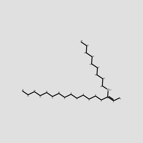 CC=C(CCCCCCCCCCCCCC)OCCCCCCCCC